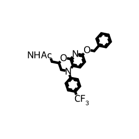 CC(=O)NCC1CN(c2ccc(C(F)(F)F)cc2)c2ccc(OCc3ccccc3)nc2O1